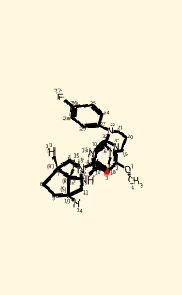 COc1cc(N2C[C@H]3CC[C@@H](C2)[C@H]3Nc2nc3n(n2)CCCN3c2ccc(F)cc2)ccn1